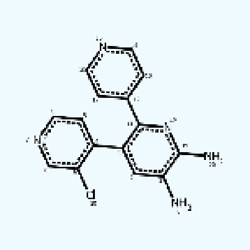 Nc1cc(-c2ccncc2Cl)c(-c2ccncc2)nc1N